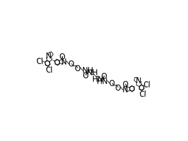 O=C(NCCCCNC(=O)NCCOCCOCCN1Cc2ccc([C@H]3c4cc(Cl)cc(Cl)c4CN4CCCC34)cc2C1=O)NCCOCCOCCN1Cc2ccc([C@H]3c4cc(Cl)cc(Cl)c4CN4CCCC34)cc2C1=O